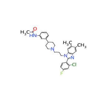 CC(=O)Nc1cccc(C2CCN(CCCn3c(-c4ccc(F)cc4Cl)nc4cc(C)c(C)cc43)CC2)c1